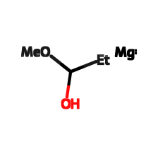 CCC(O)OC.[Mg]